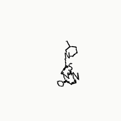 CC1CCCN(Cc2cn3c(=O)ccnc3s2)C1